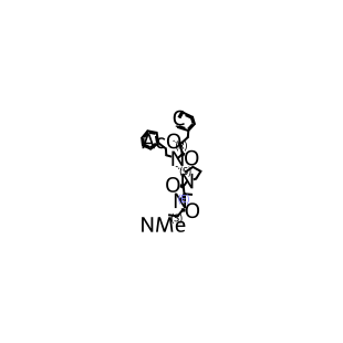 CN[C@@H](C)C(=O)/N=C(\C)C(=O)N1CCC[C@H]1CN(CCc1ccccc1)C(=O)[C@@H](Cc1ccccc1)OC(C)=O